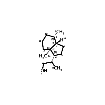 CC(CO)[C@H]1CC[C@H]2[C@@H](C)CCC[C@]12C